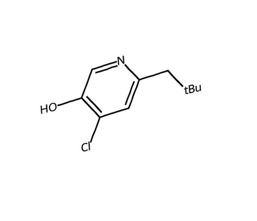 CC(C)(C)Cc1cc(Cl)c(O)cn1